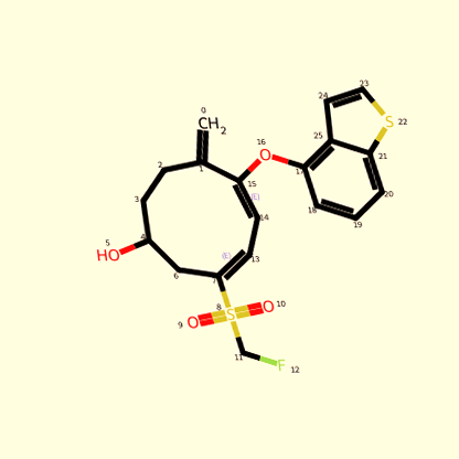 C=C1CCC(O)C/C(S(=O)(=O)CF)=C\C=C/1Oc1cccc2sccc12